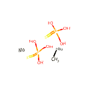 CCCCC.OP(O)(O)=S.OP(O)(O)=S.[Mo]